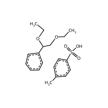 CCOCC(OCC)c1ccccc1.Cc1ccc(S(=O)(=O)O)cc1